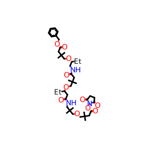 CCC(CNC(=O)CC(C)(C)COC(CC)CC(=O)NCC(C)(C)COCC(C)(C)CC(=O)ON1C(=O)CCC1=O)OCC(C)(C)CC(=O)OCc1ccccc1